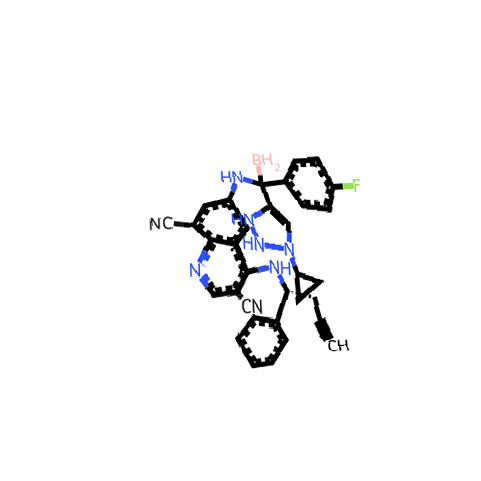 BC(Nc1cc(C#N)c2ncc(C#N)c(N[C@H](CC#C)c3ccccc3)c2c1)(C1=CN(C2CC2)NN1)c1ccc(F)cc1